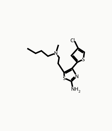 CCCCN(C)CCc1sc(N)nc1-c1cc(Cl)cs1